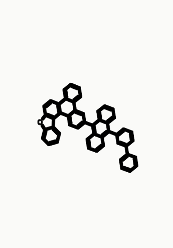 c1ccc(-c2cccc(-c3c4ccccc4c(-c4ccc5c(c4)c4ccccc4c4ccc6oc7ccccc7c6c45)c4ccccc34)c2)cc1